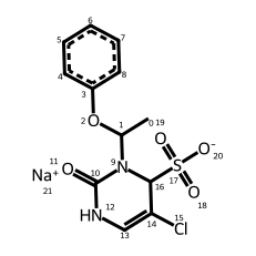 CC(Oc1ccccc1)N1C(=O)NC=C(Cl)C1S(=O)(=O)[O-].[Na+]